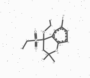 CC[N]C1(S(=O)(=O)CC)CC(C)(C)Oc2ccc(F)cc21